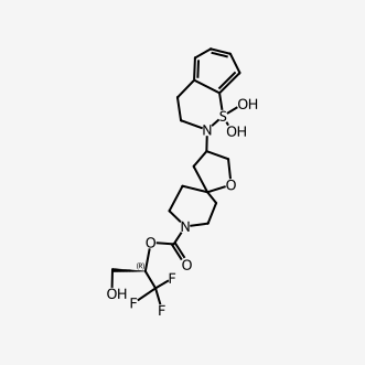 O=C(O[C@H](CO)C(F)(F)F)N1CCC2(CC1)CC(N1CCc3ccccc3S1(O)O)CO2